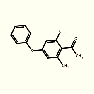 CC(=O)c1c(C)cc(Sc2ccccc2)cc1C